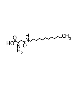 CCCCCCCCCCCCNC(=O)C[C@H](N)C(=O)O